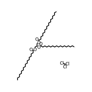 CCCCCCCCCCCCCCCCCC(=O)OCC(COC(=O)CCCCCCCCCCCCCCCCC)OC(=O)CCCCCCCCCCCCCCCCC.ClC(Cl)Cl